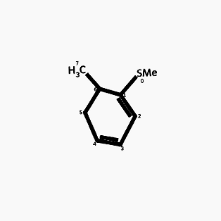 CSC1=CC=CCC1C